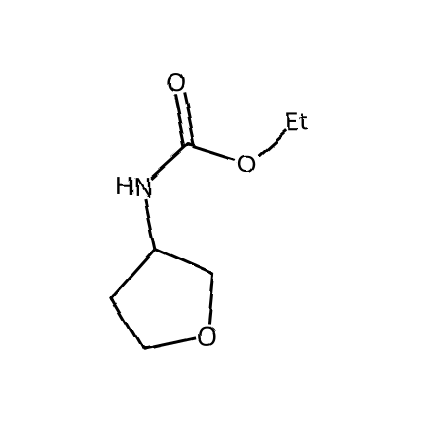 CCOC(=O)NC1CCOC1